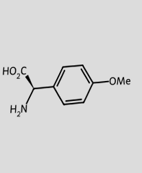 COc1ccc([C@@H](N)C(=O)O)cc1